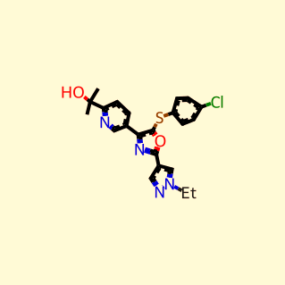 CCn1cc(-c2nc(-c3ccc(C(C)(C)O)nc3)c(Sc3ccc(Cl)cc3)o2)cn1